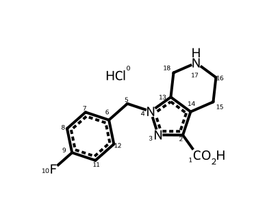 Cl.O=C(O)c1nn(Cc2ccc(F)cc2)c2c1CCNC2